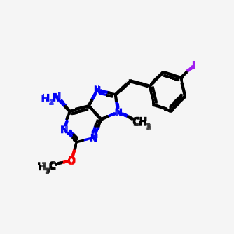 COc1nc(N)c2nc(Cc3cccc(I)c3)n(C)c2n1